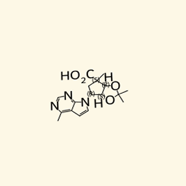 Cc1ncnc2c1ccn2[C@@H]1C[C@](C)(C(=O)O)[C@H]2OC(C)(C)O[C@@H]12